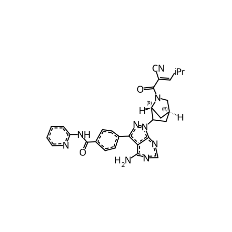 CC(C)C=C(C#N)C(=O)N1C[C@H]2CC(n3nc(-c4ccc(C(=O)Nc5ccccn5)cc4)c4c(N)ncnc43)[C@H]1C2